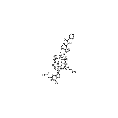 CC(C)C(=O)Nc1nc2c(ncn2[C@@H]2O[C@@H]3COP(=O)(O)O[C@H]4[C@@H](F)[C@H](n5cnc6c(NC(=O)c7ccccc7)ncnc65)O[C@@H]4COP(=S)(OCCC#N)O[C@@H]2[C@@H]3O[Si](C)(C)C(C)(C)C)c(=O)[nH]1